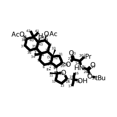 CC(=O)O[C@H]1CC2C3(CC[C@]4(C)[C@@H]([C@@]5(C)CC[C@@H](C(C)(C)O)O5)[C@@H](OC(=O)C(NC(=O)OC(C)(C)C)C(C)C)C[C@@]24C)C[C@@]32CC[C@H](OC(C)=O)C(C)(C)[C@H]12